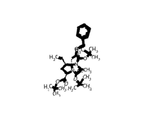 C=C[C@@H]1C[C@H](C(=O)OC(C)(C)C)N(C(=O)OC(C)(C)C)[C@]1(CCSCc1ccccc1)N(C(C)=O)C(=O)OC(C)(C)C